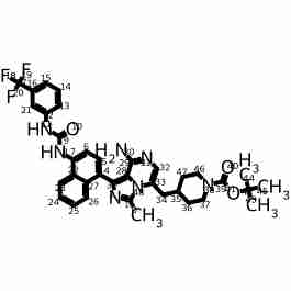 Cc1nc(-c2ccc(NC(=O)Nc3cccc(C(F)(F)F)c3)c3ccccc23)c2c(N)ncc(CC3CCN(C(=O)OC(C)(C)C)CC3)n12